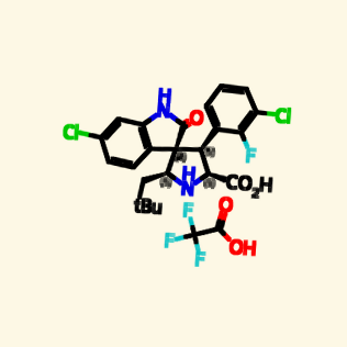 CC(C)(C)C[C@@H]1N[C@H](C(=O)O)[C@H](c2cccc(Cl)c2F)[C@]12C(=O)Nc1cc(Cl)ccc12.O=C(O)C(F)(F)F